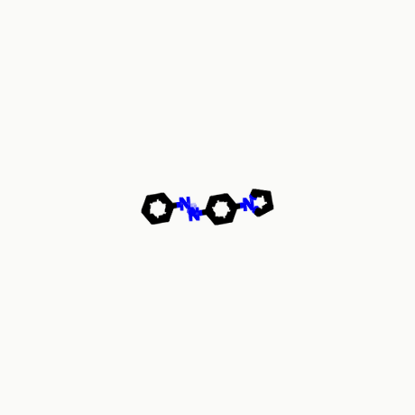 c1ccc(/N=N/c2ccc(-n3cccc3)cc2)cc1